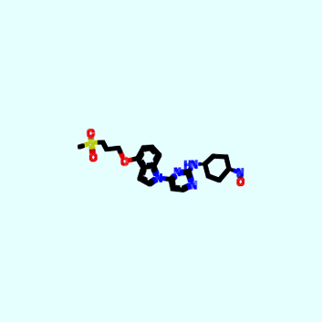 CS(=O)(=O)CCCOc1cccc2c1ccn2-c1ccnc(N[C@H]2CC[C@H](N=O)CC2)n1